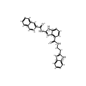 O=C(Nc1nc2c(C(=O)NCCc3nc4ccccc4[nH]3)cccc2[nH]1)c1cc2ccccc2cn1